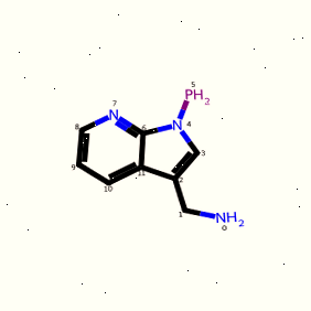 NCc1cn(P)c2ncccc12